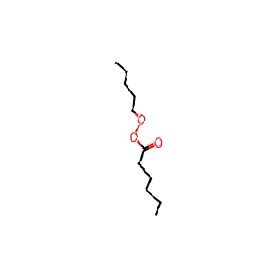 CCCCCOOC(=O)CCCCC